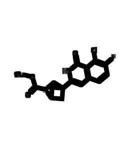 CC(C)(C)OC(=O)N1CC2(c3cc4ccc(F)c(Cl)c4c(=O)[nH]3)CC1C2